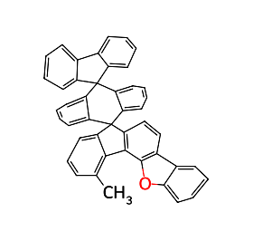 Cc1cccc2c1-c1c(ccc3c1oc1ccccc13)C21c2ccccc2C2(c3ccccc3-c3ccccc32)c2ccccc21